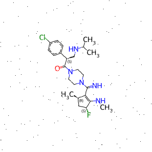 CNC1=C(C(=N)N2CCN(C(=O)[C@H](CNC(C)C)c3ccc(Cl)cc3)CC2)[C@H](C)C[C@@H]1F